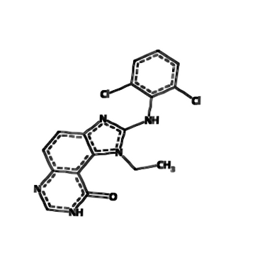 CCn1c(Nc2c(Cl)cccc2Cl)nc2ccc3nc[nH]c(=O)c3c21